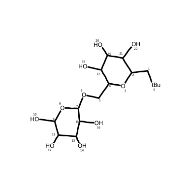 CC(C)(C)CC1OC(COC2OC(O)C(O)C(O)C2O)C(O)C(O)C1O